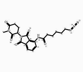 CN1C(=O)CCC(N2C(=O)c3cccc(NC(=O)CCCCCN=[N+]=[N-])c3C2=O)C1=O